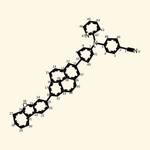 N#Cc1ccc(N(c2ccc(-c3cc4ccc5cc(-c6ccc7c(c6)oc6ccccc67)cc6ccc(c3)c4c56)cc2)c2ccccn2)cc1